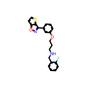 Fc1ccccc1CNCCCOc1cccc(-c2noc3ccsc23)c1